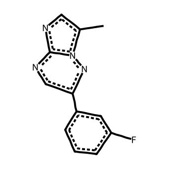 Cc1cnc2ncc(-c3cccc(F)c3)nn12